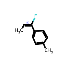 C/C=C(/F)c1ccc(C)cc1